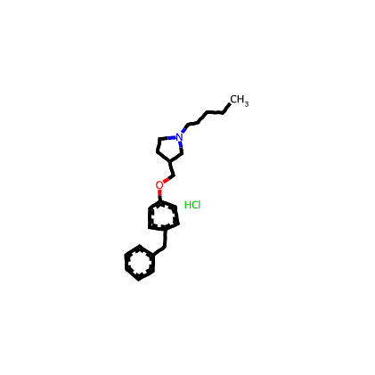 CCCCCN1CCC(COc2ccc(Cc3ccccc3)cc2)C1.Cl